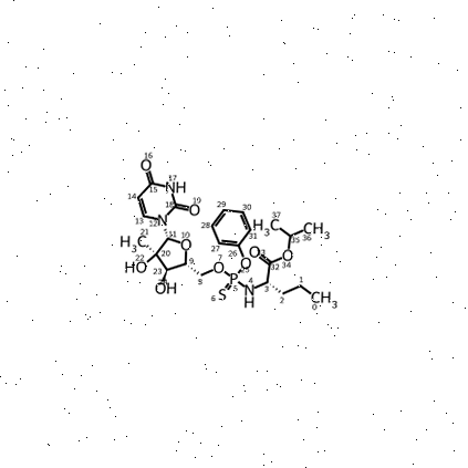 CCC[C@H](NP(=S)(OC[C@H]1O[C@@H](n2ccc(=O)[nH]c2=O)[C@](C)(O)[C@@H]1O)Oc1ccccc1)C(=O)OC(C)C